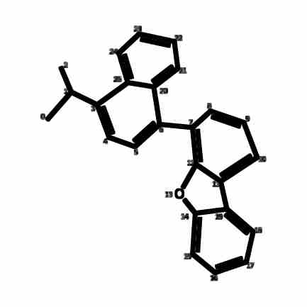 CC(C)c1ccc(-c2cccc3c2oc2ccccc23)c2ccccc12